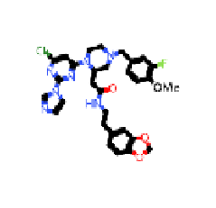 COc1ccc(CN2CCN(c3cc(Cl)nc(-n4ccnc4)n3)C(CC(=O)NCCc3ccc4c(c3)OCO4)C2)cc1F